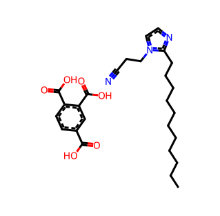 CCCCCCCCCCCc1nccn1CCC#N.O=C(O)c1ccc(C(=O)O)c(C(=O)O)c1